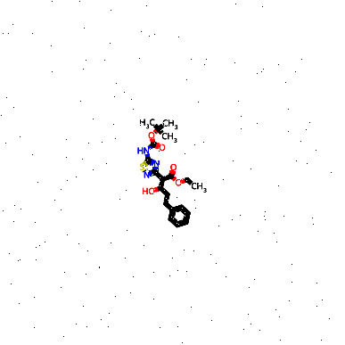 CCOC(=O)C(c1nsc(NC(=O)OC(C)(C)C)n1)C(O)CCc1ccccc1